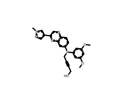 COc1cc(OC)cc(N(CC#CCO)c2ccc3ncc(-c4cnn(C)c4)nc3c2)c1